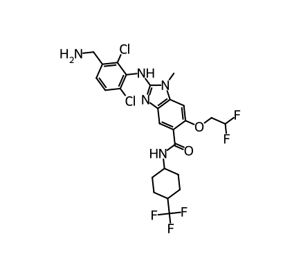 Cn1c(Nc2c(Cl)ccc(CN)c2Cl)nc2cc(C(=O)NC3CCC(C(F)(F)F)CC3)c(OCC(F)F)cc21